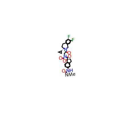 CNC(=O)Nc1ccc2c(c1)CC[C@]21OC(=O)N(CC(=O)N2Cc3cc(F)c(F)cc3CC[C@H]2C2CC2)C1=O